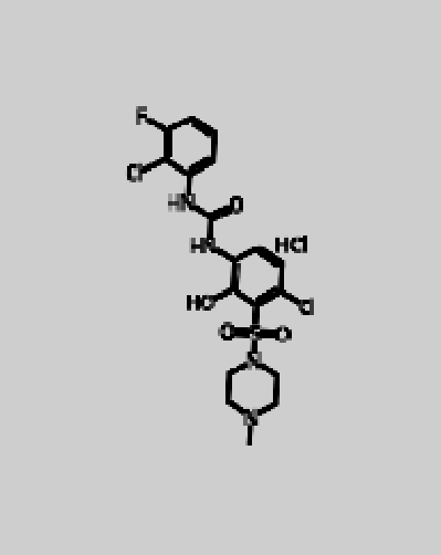 CN1CCN(S(=O)(=O)c2c(Cl)ccc(NC(=O)Nc3cccc(F)c3Cl)c2O)CC1.Cl